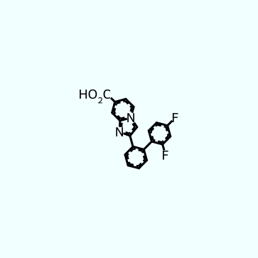 O=C(O)c1ccn2cc(-c3ccccc3-c3ccc(F)cc3F)nc2c1